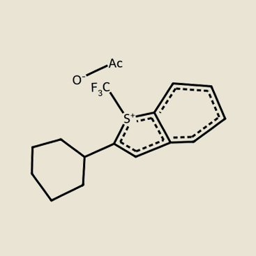 CC(=O)[O-].FC(F)(F)[s+]1c(C2CCCCC2)cc2ccccc21